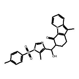 Cc1ccc(S(=O)(=O)n2cnc(C(O)C3CCc4c(C)c5ccccn5c4C3=O)c2C)cc1